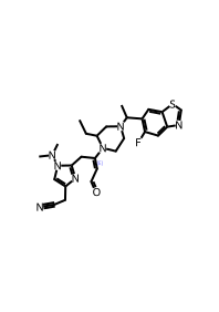 CCC1CN(C(C)c2cc3scnc3cc2F)CCN1/C(=C/C=O)Cc1nc(CC#N)cn1N(C)C